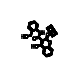 O=C(Nc1ccccc1CO)c1c(O)c2ccccc2oc1=O.c1cc2ccc1-2